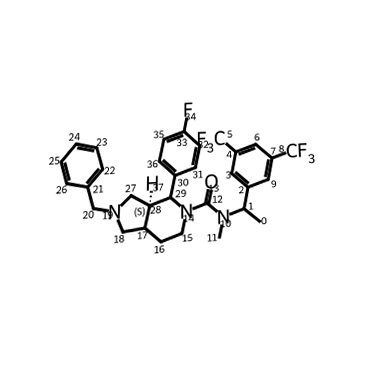 CC(c1cc(C(F)(F)F)cc(C(F)(F)F)c1)N(C)C(=O)N1CCC2CN(Cc3ccccc3)C[C@H]2C1c1ccc(F)cc1